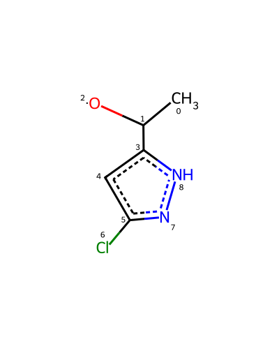 CC([O])c1cc(Cl)n[nH]1